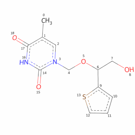 Cc1cn(COC(CO)c2cccs2)c(=O)[nH]c1=O